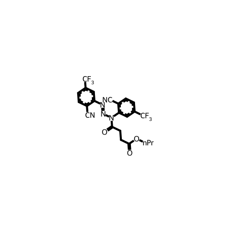 CCCOC(=O)CCC(=O)N(N=Nc1cc(C(F)(F)F)ccc1C#N)c1cc(C(F)(F)F)ccc1C#N